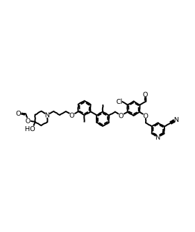 Cc1c(COc2cc(OCc3cncc(C#N)c3)c(C=O)cc2Cl)cccc1-c1cccc(OCCCN2CCC(O)(OC=O)CC2)c1C